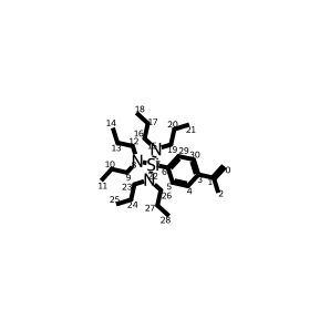 C=C(C)c1ccc([Si](N(CCC)CCC)(N(CCC)CCC)N(CCC)CCC)cc1